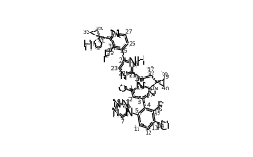 O=c1cc(-c2c(-n3cnnn3)ccc(Cl)c2F)nc2n1[C@@H](c1ncc(-c3ccnc(C4(O)CC4)c3F)[nH]1)CC21CC1